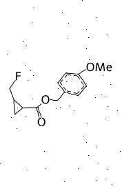 COc1ccc(COC(=O)C2CC2CF)cc1